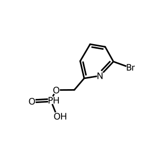 O=[PH](O)OCc1cccc(Br)n1